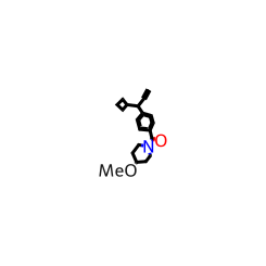 C#CC(c1ccc(C(=O)N2CCC(OC)CC2)cc1)C1CCC1